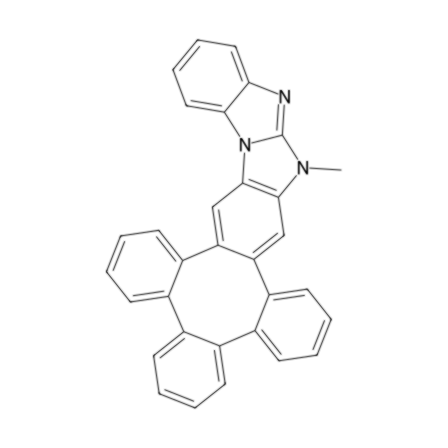 Cn1c2cc3c(cc2n2c4ccccc4nc12)-c1ccccc1-c1ccccc1-c1ccccc1-3